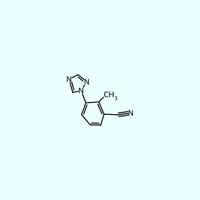 Cc1c(C#N)cccc1-n1cncn1